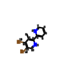 Cc1c(-c2ccccn2)ncc(Br)c1Br